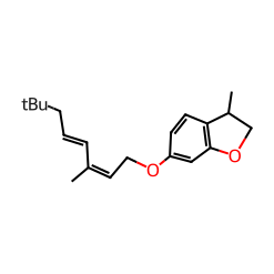 CC(C=CCC(C)(C)C)=CCOc1ccc2c(c1)OCC2C